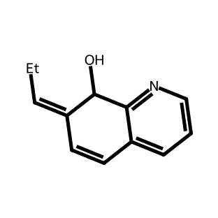 CCC=C1C=Cc2cccnc2C1O